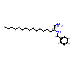 CCCCCCCCCCCCCC/C(=C/N)NCc1ccccc1